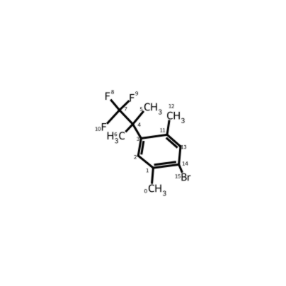 Cc1cc(C(C)(C)C(F)(F)F)c(C)cc1Br